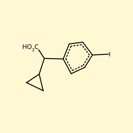 O=C(O)C(c1ccc(I)cc1)C1CC1